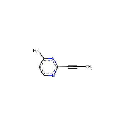 CC#Cc1nccc(C)n1